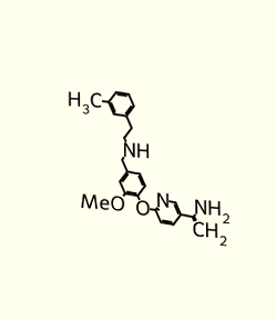 C=C(N)c1ccc(Oc2ccc(CNCCc3cccc(C)c3)cc2OC)nc1